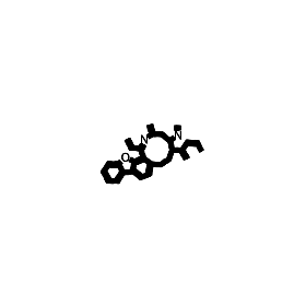 C=C/C1=N/C(=C)CC(N=C)C(C(=C)/C=C\C)CCc2ccc3c(oc4ccccc43)c21